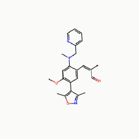 COc1cc(N(C)Cc2ccccn2)c(/C=C(/C)C=O)cc1-c1c(C)noc1C